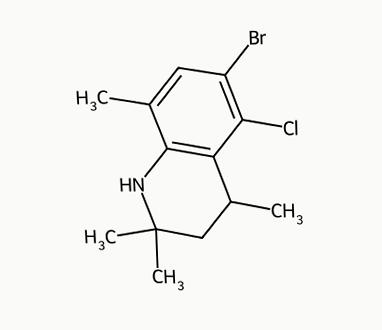 Cc1cc(Br)c(Cl)c2c1NC(C)(C)CC2C